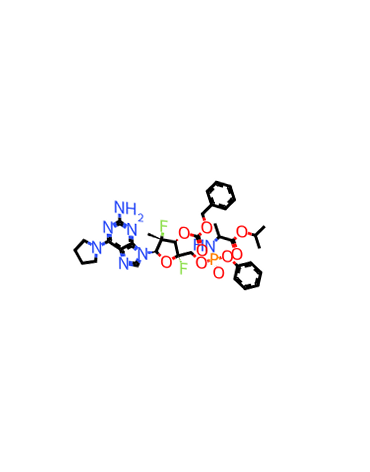 CC(C)OC(=O)C(C)NP(=O)(OC[C@@]1(F)O[C@@H](n2cnc3c(N4CCCC4)nc(N)nc32)[C@](C)(F)[C@@H]1OC(=O)OCc1ccccc1)Oc1ccccc1